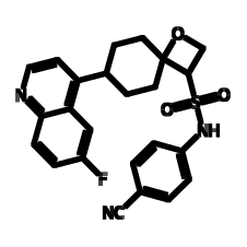 N#Cc1ccc(NS(=O)(=O)C2COC23CCC(c2ccnc4ccc(F)cc24)CC3)cc1